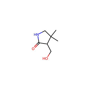 CC1(C)CNC(=O)C1CO